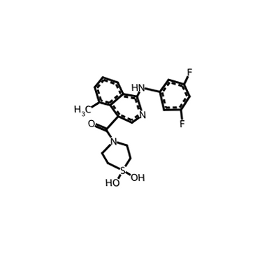 Cc1cccc2c(Nc3cc(F)cc(F)c3)ncc(C(=O)N3CCS(O)(O)CC3)c12